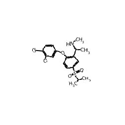 CNC(C)c1cc(S(=O)(=O)C(C)C)ccc1Oc1ccc(Cl)c(Cl)c1